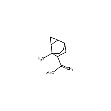 C=C(OC)C1CC2CCC1(N)C1CC21